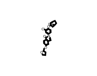 O=c1c2ccc(OCC3CCCO3)cc2ccn1-c1ccc(OC2CC3CCC(C2)N3)c(Cl)c1